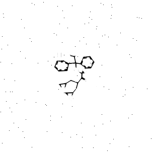 C=C(C(=O)OC(c1ccccc1)(c1ccccc1)C(C)O)C(CC1CO1)CC1CO1